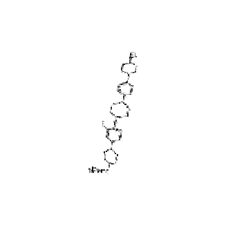 CCCCCC1CCC(c2ccc(C3CCC(c4ccc(C5CCC(CC)CC5)cc4)CC3)c(F)c2)CC1